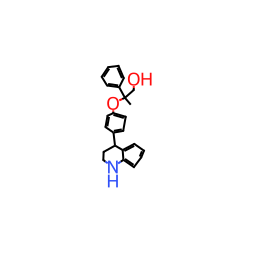 CC(CO)(Oc1ccc(C2CCNc3ccccc32)cc1)c1ccccc1